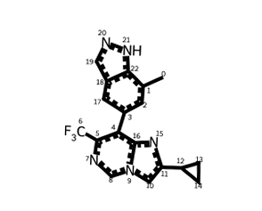 Cc1cc(-c2c(C(F)(F)F)ncn3cc(C4CC4)nc23)cc2cn[nH]c12